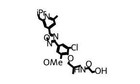 COc1cc(-c2noc(-c3cc(C)nc(CC(C)C)c3)n2)cc(Cl)c1OCC(C)CNC(=O)CO